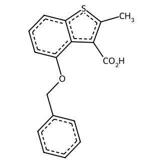 Cc1sc2cccc(OCc3ccccc3)c2c1C(=O)O